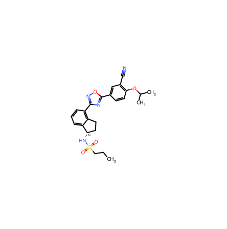 CCCS(=O)(=O)N[C@H]1CCc2c(-c3noc(-c4ccc(OC(C)C)c(C#N)c4)n3)cccc21